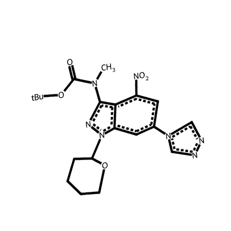 CN(C(=O)OC(C)(C)C)c1nn(C2CCCCO2)c2cc(-n3cnnc3)cc([N+](=O)[O-])c12